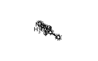 CC12CC(=O)N(c3c(F)cc(C#Cc4ccccc4)cc3F)C(=O)N1CCN(c1cccnc1)C2=O